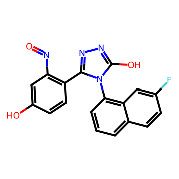 O=Nc1cc(O)ccc1-c1nnc(O)n1-c1cccc2ccc(F)cc12